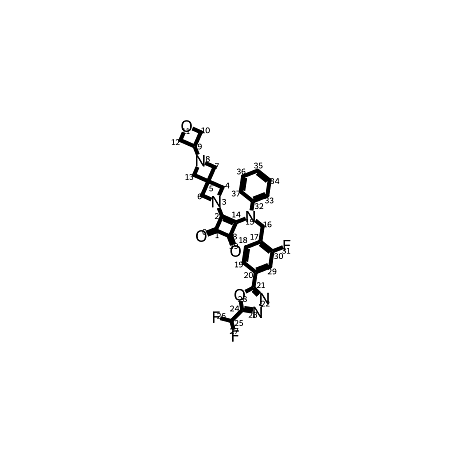 O=c1c(N2CC3(C2)CN(C2COC2)C3)c(N(Cc2ccc(-c3nnc(C(F)F)o3)cc2F)c2ccccc2)c1=O